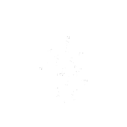 N#Cc1c(F)c(F)c(NC(C(=O)O)c2ccccc2)c(C#N)c1F